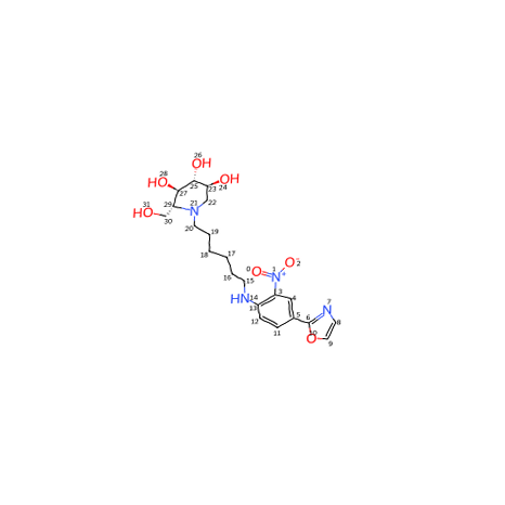 O=[N+]([O-])c1cc(-c2ncco2)ccc1NCCCCCCN1C[C@H](O)[C@@H](O)[C@H](O)[C@H]1CO